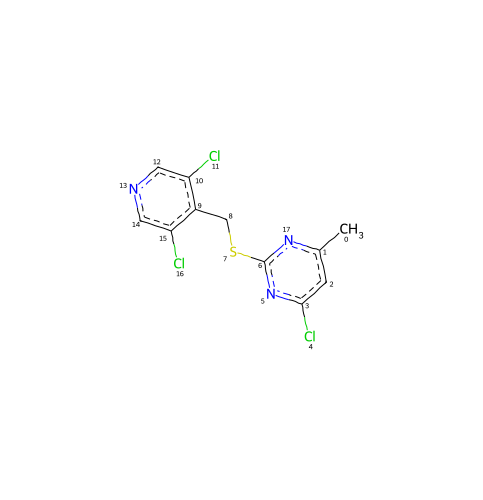 Cc1cc(Cl)nc(SCc2c(Cl)cncc2Cl)n1